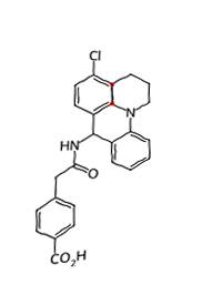 O=C(Cc1ccc(C(=O)O)cc1)NC(c1ccc(Cl)cc1)c1ccccc1N1CCCCC1